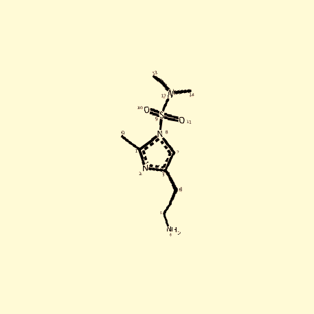 Cc1nc(CCN)cn1S(=O)(=O)N(C)C